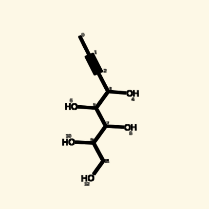 CC#CC(O)C(O)C(O)C(O)CO